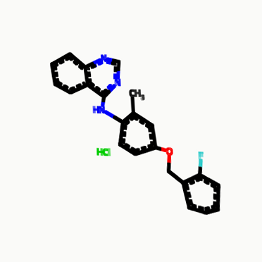 Cc1cc(OCc2ccccc2F)ccc1Nc1ncnc2ccccc12.Cl